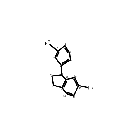 Brc1cccc(C2CCc3ccc(I)cc32)c1